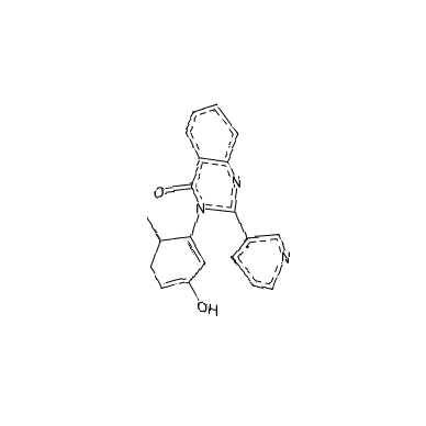 CC1CC=C(O)C=C1n1c(-c2cccnc2)nc2ccccc2c1=O